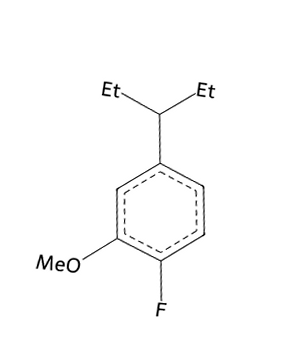 CCC(CC)c1ccc(F)c(OC)c1